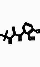 CC(C)(C)NC(=S)Nc1cccc(Cl)c1O